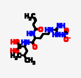 C=CCC(=O)N[C@@H](CCCNC(=N)N[N+](=O)[O-])C(=O)N[C@@H](CC(C)C)B(O)O